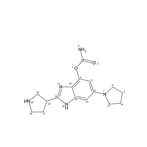 NC(=O)Oc1cc(N2CCCC2)cc2[nH]c(C3CCNC3)nc12